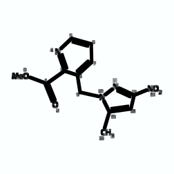 COC(=O)c1ncccc1Cn1nc([N+](=O)[O-])cc1C